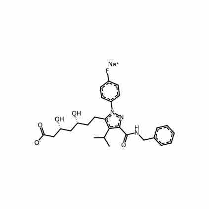 CC(C)c1c(C(=O)NCc2ccccc2)nn(-c2ccc(F)cc2)c1CC[C@@H](O)C[C@@H](O)CC(=O)[O-].[Na+]